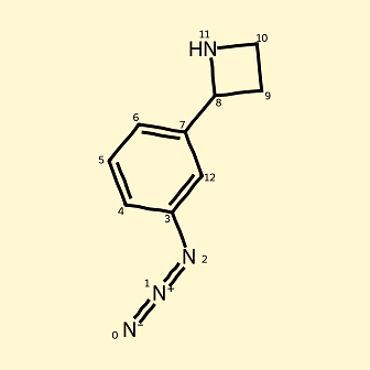 [N-]=[N+]=Nc1cccc(C2CCN2)c1